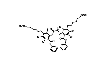 CCCCCCCCCCCCCCCCc1c(Br)c(Br)c(C(=O)Oc2ccccc2)c(OC(=O)C(=O)Oc2c(Br)c(CCCCCCCCCCCCCCCC)c(Br)c(Br)c2C(=O)Oc2ccccc2)c1Br